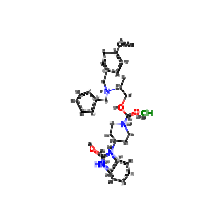 COc1ccc(CN(Cc2ccccc2)C(C)COC(=O)N2CCC(n3c(=O)[nH]c4ccccc43)CC2)cc1.Cl